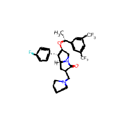 C[C@@H](O[C@H]1CN2C(=O)C(CN3CCCC3)C[C@H]2[C@@H]1c1ccc(F)cc1)c1cc(C(F)(F)F)cc(C(F)(F)F)c1